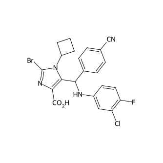 N#Cc1ccc(C(Nc2ccc(F)c(Cl)c2)c2c(C(=O)O)nc(Br)n2C2CCC2)cc1